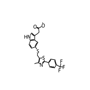 COC(=O)Cc1c[nH]c2ccc(SCc3sc(-c4ccc(C(F)(F)F)cc4)nc3C)cc12